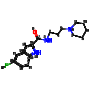 O=C(NCCCN1CCCCC1)c1cc2cc(F)ccc2[nH]1